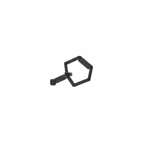 O=[N+]1CC=CCC1